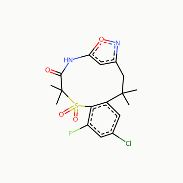 CC1(C)Cc2cc(on2)NC(=O)C(C)(C)S(=O)(=O)c2c(F)cc(Cl)cc21